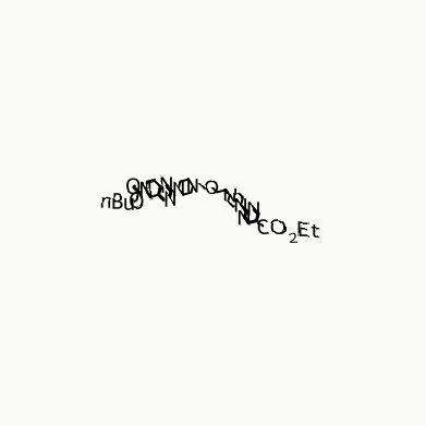 CCCCOC(=O)N1CCc2nc(N3CCN(CCOCCN4CCN(c5ncc(C(=O)OCC)cn5)CC4)CC3)ncc2C1